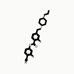 CCC[C@H]1CC[C@H](CCc2ccc(C(=O)Oc3ccc(C#N)c(F)c3)c(F)c2)CC1